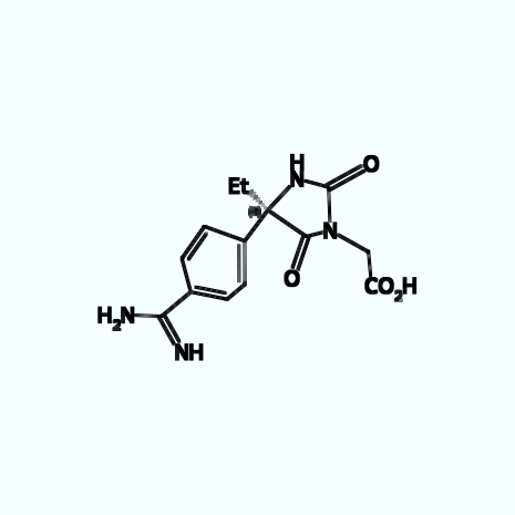 CC[C@]1(c2ccc(C(=N)N)cc2)NC(=O)N(CC(=O)O)C1=O